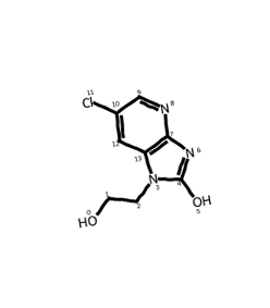 OCCn1c(O)nc2ncc(Cl)cc21